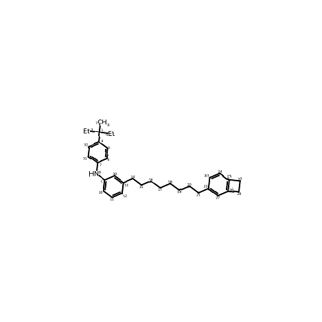 CCC(C)(CC)c1ccc(Nc2cccc(CCCCCCCCc3ccc4c(c3)CC4)c2)cc1